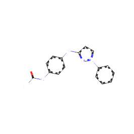 CC(=O)Nc1ccc(Nc2ccn(-c3ccccc3)n2)cc1